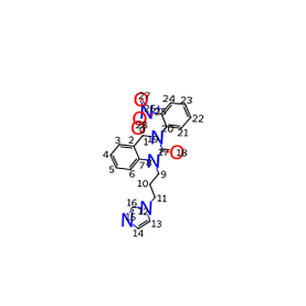 O=c1c2ccccc2n(CCCn2ccnc2)c(=O)n1-c1ccccc1[N+](=O)[O-]